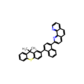 CC1(C)c2ccccc2Sc2ccc(-c3ccc(-c4ccc5ccc6cccnc6c5n4)c4ccccc34)cc21